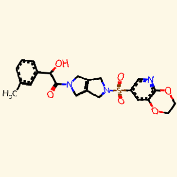 Cc1cccc(C(O)C(=O)N2CC3=C(C2)CN(S(=O)(=O)c2cnc4c(c2)OCCO4)C3)c1